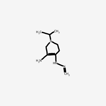 C=NNC1=C(N)CN(C(C)C)CC1